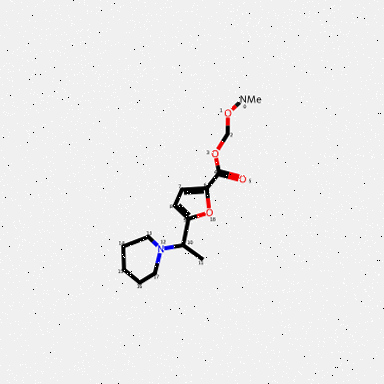 CNOCOC(=O)c1ccc(C(C)N2CCCCC2)o1